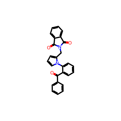 O=C(c1ccccc1)c1ccccc1-n1cccc1CN1C(=O)c2ccccc2C1=O